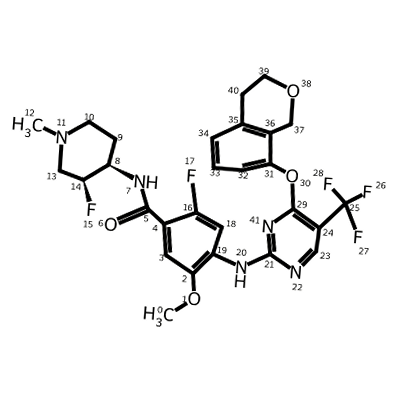 COc1cc(C(=O)N[C@@H]2CCN(C)C[C@@H]2F)c(F)cc1Nc1ncc(C(F)(F)F)c(Oc2cccc3c2COCC3)n1